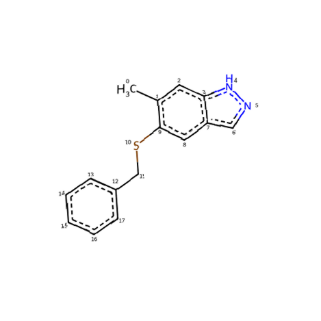 Cc1cc2[nH]ncc2cc1SCc1ccccc1